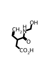 C=CC(CC(=O)O)C(=O)NCO